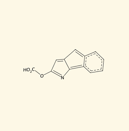 O=C(O)OC1=NC2=c3ccccc3=CC2=C1